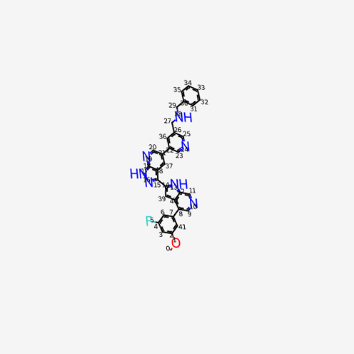 COc1cc(F)cc(-c2cncc3[nH]c(-c4n[nH]c5ncc(-c6cncc(CNCc7ccccc7)c6)cc45)cc23)c1